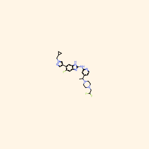 CC(c1ccnc(Nc2nc3cc(F)c(-c4cnn(CC5CC5)c4)cc3[nH]2)c1)N1CCN(CC(F)F)CC1